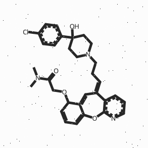 CN(C)C(=O)COC1C=CC=C2Oc3ncccc3C(=CCCN3CCC(O)(c4ccc(Cl)cc4)CC3)C=C21